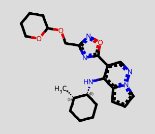 C[C@H]1CCCC[C@H]1Nc1c(-c2nc(COC3CCCCO3)no2)cnn2cccc12